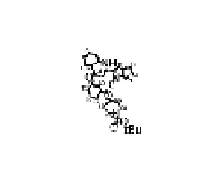 Cn1c(C(=O)Nc2ccccc2COc2cccc(OC3CCN(C(=O)OC(C)(C)C)CC3)c2)cc2ccsc21